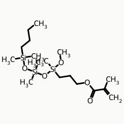 C=C(C)C(=O)OCCC[Si](C)(OC)O[Si](C)(C)O[Si](C)(C)CCCC